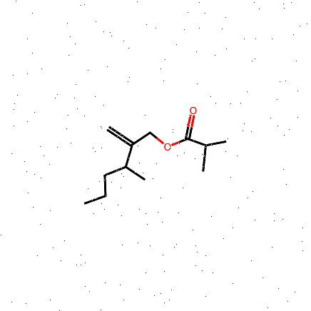 C=C(COC(=O)C(C)C)C(C)CCC